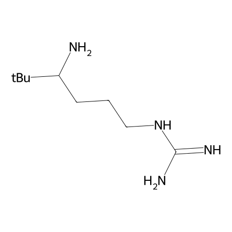 CC(C)(C)C(N)CCCNC(=N)N